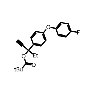 C#CC(CC)(OC(=O)C(C)(C)C)c1ccc(Oc2ccc(F)cc2)cc1